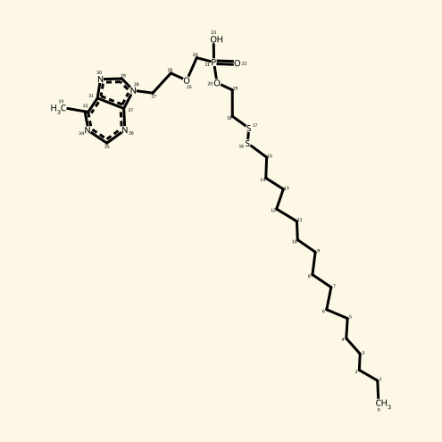 CCCCCCCCCCCCCCCCSSCCOP(=O)(O)COCCn1cnc2c(C)ncnc21